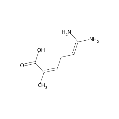 CC(=CCC=C(N)N)C(=O)O